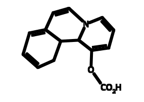 O=C(O)OC1=CC=CN2C=CC3=CC=CCC3C12